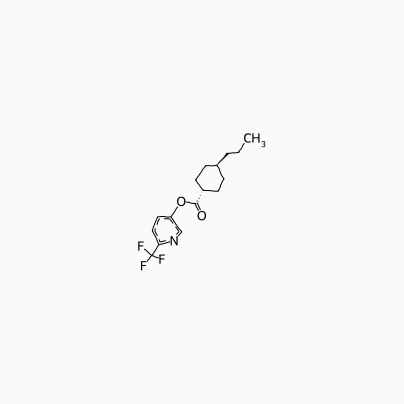 CCC[C@H]1CC[C@H](C(=O)Oc2ccc(C(F)(F)F)nc2)CC1